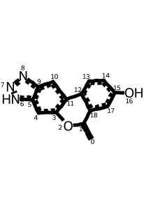 C=C1Oc2cc3[nH]nnc3cc2-c2ccc(O)cc21